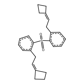 O=S(=O)(c1ccccc1CC=C1CCC1)c1ccccc1CC=C1CCC1